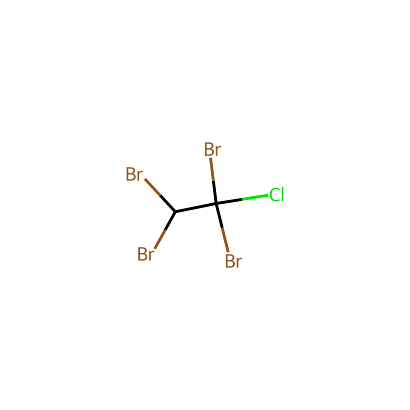 ClC(Br)(Br)C(Br)Br